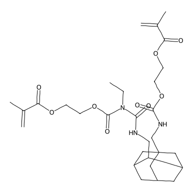 C=C(C)C(=O)OCCOC(=O)NCC12CC3CC(C1)C(CNC(=O)N(CC)C(=O)OCCOC(=O)C(=C)C)C(C3)C2